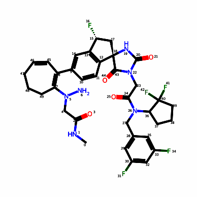 CNC(=O)CN(N)C1=C(c2ccc3c(c2)[C@H](F)C[C@]32NC(=O)N(CC(=O)N(Cc3cc(F)cc(F)c3)C3CCCC3(F)F)C2=O)C=CCCC1